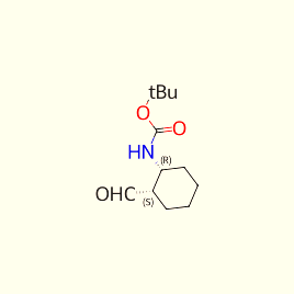 CC(C)(C)OC(=O)N[C@@H]1CCCC[C@@H]1C=O